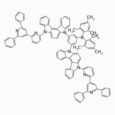 Cc1cc(C)c(B(c2cc(-n3c4ccccc4c4c5c6ccccc6n(-c6cccc(-c7cc(-c8ccccc8)nc(-c8ccccc8)c7)n6)c5ccc43)cc(-n3c4ccccc4c4c5c6ccccc6n(-c6cccc(-c7cc(-c8ccccc8)nc(-c8ccccc8)c7)n6)c5ccc43)c2)c2c(C)cc(C)cc2C)c(C)c1